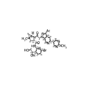 CC(=O)c1nn(CC(=O)N2[C@H](C(=O)Nc3nc(Br)ccc3C(O)CO)C[C@@]3(C)C[C@@H]23)c2cnc(-c3cnc(C)nc3)cc12